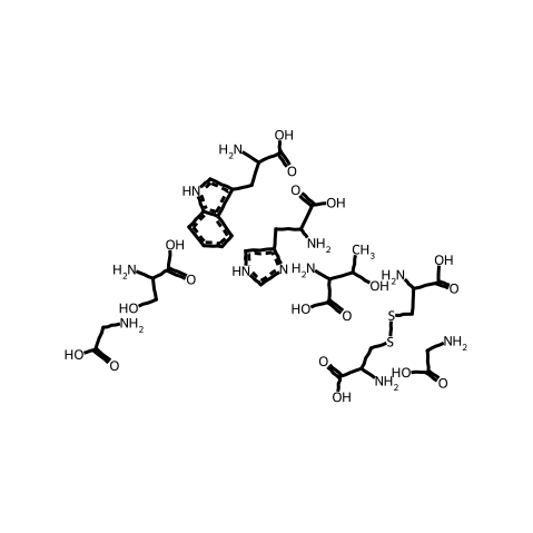 CC(O)C(N)C(=O)O.NC(CO)C(=O)O.NC(CSSCC(N)C(=O)O)C(=O)O.NC(Cc1c[nH]c2ccccc12)C(=O)O.NC(Cc1c[nH]cn1)C(=O)O.NCC(=O)O.NCC(=O)O